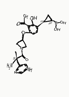 C[C@@](N)(C(=O)N1CC(Oc2ccc([C@H]3C[C@H]3B(O)O)c(O)c2C(=O)O)C1)c1c[nH]cn1